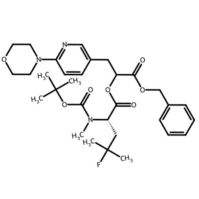 CN(C(=O)OC(C)(C)C)[C@@H](CC(C)(C)F)C(=O)OC(Cc1ccc(N2CCOCC2)nc1)C(=O)OCc1ccccc1